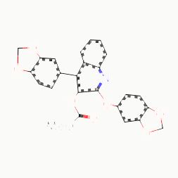 COC(=O)Oc1c(Oc2ccc3c(c2)OCO3)nc2ccccc2c1-c1ccc2c(c1)OCO2